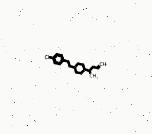 [CH]=CCC(C)C1CCC(CCc2ccc(Cl)cc2)CC1